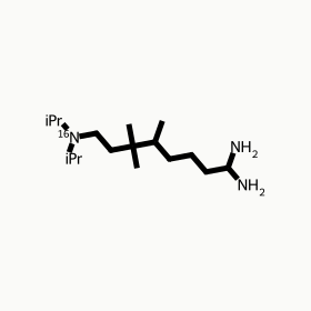 CC(C)[16N](CCC(C)(C)C(C)CCCC(N)N)C(C)C